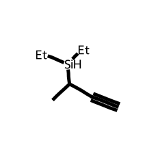 C#CC(C)[SiH](CC)CC